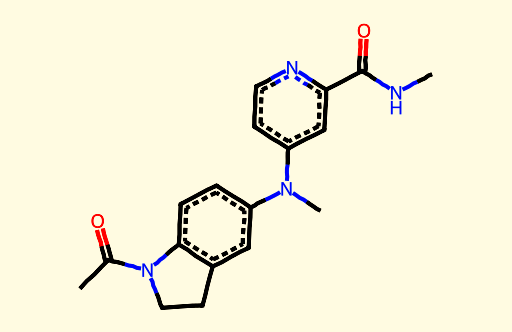 CNC(=O)c1cc(N(C)c2ccc3c(c2)CCN3C(C)=O)ccn1